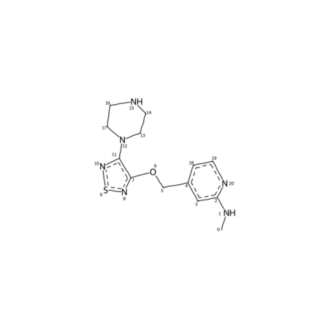 CNc1cc(COc2nsnc2N2CCNCC2)ccn1